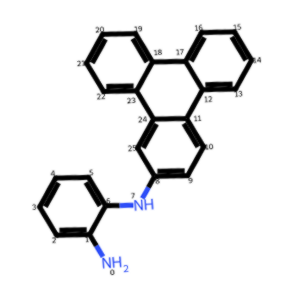 Nc1ccccc1Nc1ccc2c3ccccc3c3ccccc3c2c1